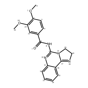 COc1ccc(C(=O)NC2=Nc3ccccc3C3=NCCN23)cc1OC